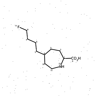 O=C(O)C1CCC(CCCCF)CCN1